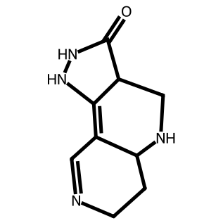 O=C1NNC2=C3C=NCCC3NCC12